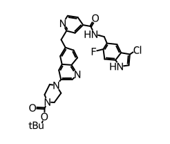 CC(C)(C)OC(=O)N1CCN(c2cnc3ccc(Cc4cc(C(=O)NCc5cc6c(Cl)c[nH]c6cc5F)ccn4)cc3c2)CC1